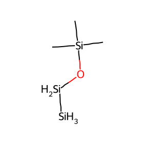 C[Si](C)(C)O[SiH2][SiH3]